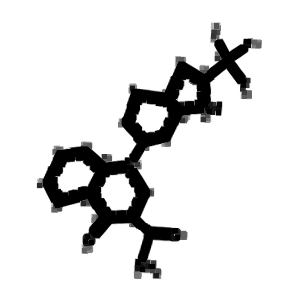 NC(=O)c1cn(-c2ccc3cc(C(F)(F)F)[nH]c3c2)c2ccccc2c1=O